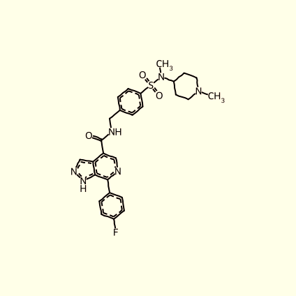 CN1CCC(N(C)S(=O)(=O)c2ccc(CNC(=O)c3cnc(-c4ccc(F)cc4)c4[nH]ncc34)cc2)CC1